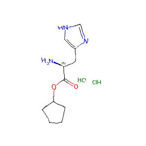 Cl.Cl.N[C@@H](Cc1c[nH]cn1)C(=O)OC1CCCC1